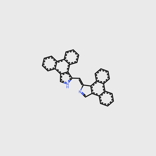 C1=N/C(=C\c2[nH]cc3c4ccccc4c4ccccc4c23)c2c1c1ccccc1c1ccccc21